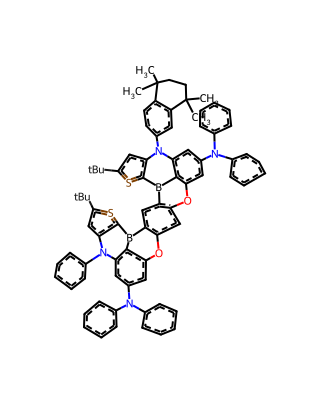 CC(C)(C)c1cc2c(s1)B1c3cc4c(cc3Oc3cc(N(c5ccccc5)c5ccccc5)cc(c31)N2c1ccccc1)Oc1cc(N(c2ccccc2)c2ccccc2)cc2c1B4c1sc(C(C)(C)C)cc1N2c1ccc2c(c1)C(C)(C)CCC2(C)C